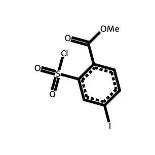 COC(=O)c1ccc(I)cc1S(=O)(=O)Cl